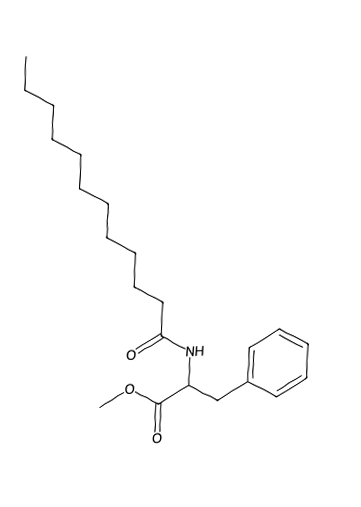 CCCCCCCCCCCC(=O)NC(Cc1ccccc1)C(=O)OC